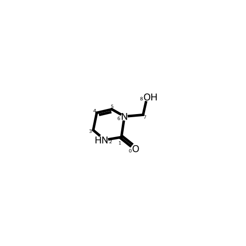 O=C1NCC=CN1CO